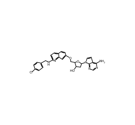 Nc1ncnc2c1ccn2C1CC(O)C(COc2ccc3ccc(NCc4ccc(Cl)cc4)nc3c2)O1